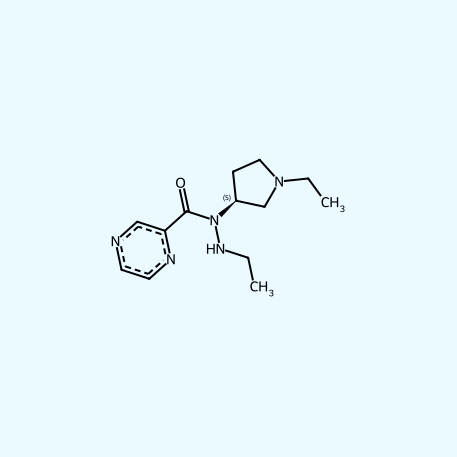 CCNN(C(=O)c1cnccn1)[C@H]1CCN(CC)C1